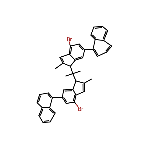 CC1=Cc2c(Br)cc(-c3cccc4ccccc34)cc2C1C(C)(C)C1C(C)=Cc2c(Br)cc(-c3cccc4ccccc34)cc21